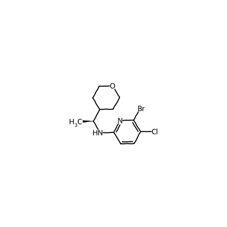 C[C@H](Nc1ccc(Cl)c(Br)n1)C1CCOCC1